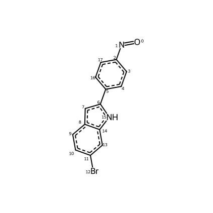 O=Nc1ccc(-c2cc3ccc(Br)cc3[nH]2)cc1